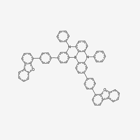 c1ccc(N2c3cc(-c4ccc(-c5cccc6c5oc5ccccc56)cc4)ccc3B3c4ccc(-c5ccc(-c6cccc7c6oc6ccccc67)cc5)cc4N(c4ccccc4)c4cccc2c43)cc1